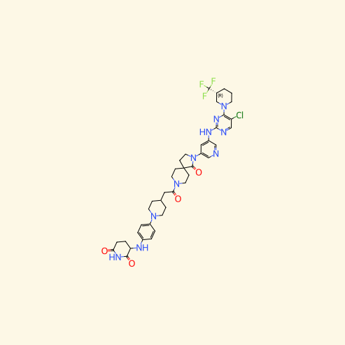 O=C1CCC(Nc2ccc(N3CCC(CC(=O)N4CCC5(CC4)CCN(c4cncc(Nc6ncc(Cl)c(N7CCC[C@@H](C(F)(F)F)C7)n6)c4)C5=O)CC3)cc2)C(=O)N1